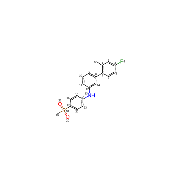 Cc1cc(F)ccc1-c1cccc(Nc2ccc(S(C)(=O)=O)cc2)c1